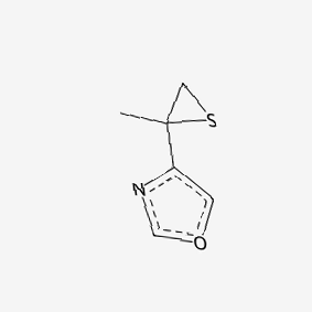 CC1(c2cocn2)CS1